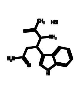 CC(=O)C(N)C(CC(N)=O)c1c[nH]c2ccccc12.Cl